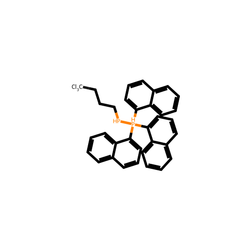 ClC(Cl)(Cl)CCCP[PH](c1cccc2ccccc12)(c1cccc2ccccc12)c1cccc2ccccc12